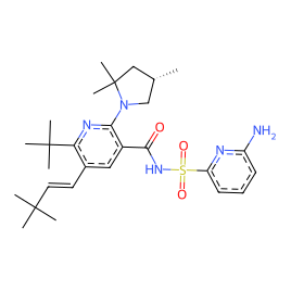 C[C@@H]1CN(c2nc(C(C)(C)C)c(C=CC(C)(C)C)cc2C(=O)NS(=O)(=O)c2cccc(N)n2)C(C)(C)C1